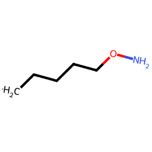 [CH2]CCCCON